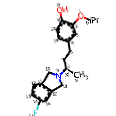 CC(C)Oc1cc(CC[C@@H](C)N2Cc3ccc(F)cc3C2)ccc1O